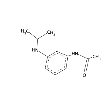 CC(=O)Nc1cccc(NC(C)C)c1